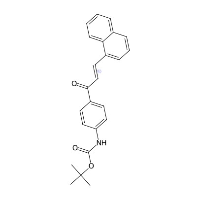 CC(C)(C)OC(=O)Nc1ccc(C(=O)/C=C/c2cccc3ccccc23)cc1